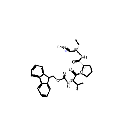 CC[C@@H](/C=[N]/[Lr])NC(=O)[C@@H]1CCCN1C(=O)[C@@H](NC(=O)OCC1c2ccccc2-c2ccccc21)C(C)C